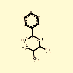 CC(NC(C)C(C)C)c1ccccc1